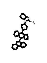 Cc1nc2ccccc2n1-c1ccc(-c2c3ccccc3c(-c3cc4ccccc4c4ccccc34)c3ccccc23)cc1